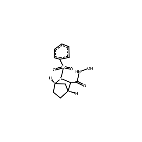 O=C(NO)[C@H]1[C@@H]2CC[C@@H](C2)N1S(=O)(=O)c1ccccc1